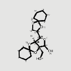 OC[C@@]12OC3(CCCCC3)O[C@@H]1[C@H]([C@H]1COC3(CCCCC3)O1)OC2O